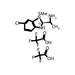 CSN1c2cc(Cl)ccc2N[C@@H]1C(C)N.O=C(O)C(F)(F)F.O=C(O)C(F)(F)F